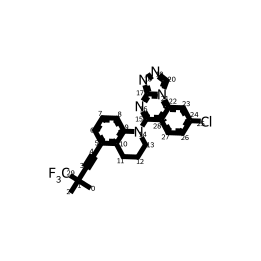 CC(C)(C#Cc1cccc2c1CCCN2c1nc2nncn2c2cc(Cl)ccc12)C(F)(F)F